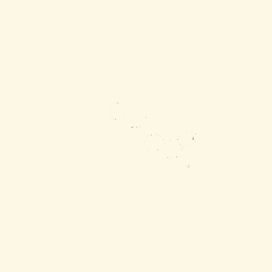 Nc1nc2ccc(C(=O)N3CCCCC3c3ccc(OC(F)(F)F)cc3)cc2n2cncc12